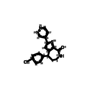 O=C1NCCC(c2ccc(Cl)cc2)c2cc(-c3ccnnc3)sc21